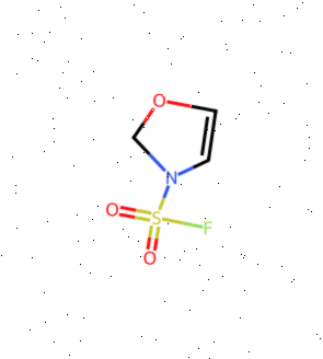 O=S(=O)(F)N1C=COC1